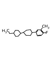 CCC1CCC(C2CCC(c3ccc(F)c(C)c3)CC2)CC1